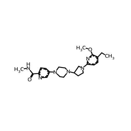 CCc1ccc(N2CCC(N3CCN(c4ccc(C(=O)NC)nc4)CC3)C2)nc1OC